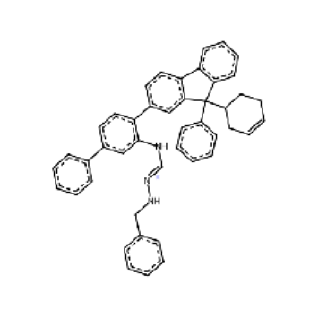 C1=CCC(C2(c3ccccc3)c3ccccc3-c3ccc(-c4ccc(-c5ccccc5)cc4N/C=N/NCc4ccccc4)cc32)CC1